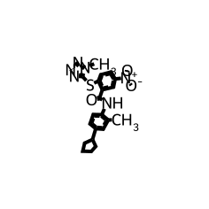 Cc1cc(C2CCCC2)ccc1NC(=O)c1cc([N+](=O)[O-])ccc1Sc1nnnn1C